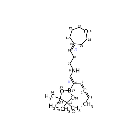 CC=C=C/C(=C\NCC/C=C1/CCCOCC1)B1OC(C)(C)C(C)(C)O1